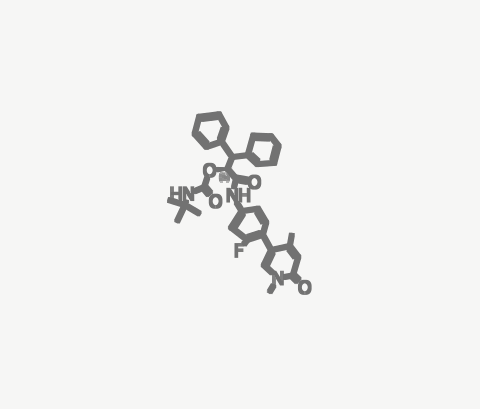 Cc1cc(=O)n(C)cc1-c1ccc(NC(=O)[C@@H](OC(=O)NC(C)(C)C)C(c2ccccc2)c2ccccc2)cc1F